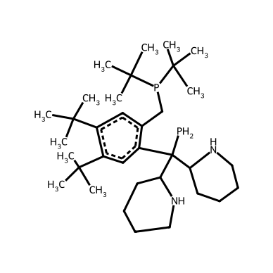 CC(C)(C)c1cc(CP(C(C)(C)C)C(C)(C)C)c(C(P)(C2CCCCN2)C2CCCCN2)cc1C(C)(C)C